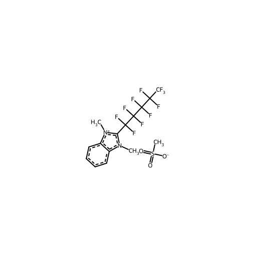 CS(=O)(=O)[O-].Cn1c(C(F)(F)C(F)(F)C(F)(F)C(F)(F)C(F)(F)F)[n+](C)c2ccccc21